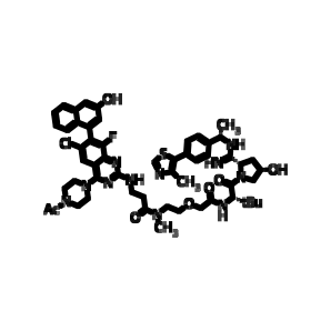 CC(=O)N1CCN(c2nc(NCCC(=O)N(C)CCOCC(=O)N[C@H](C(=O)N3C[C@H](O)C[C@H]3C(=N)N[C@@H](C)c3ccc(-c4scnc4C)cc3)C(C)(C)C)nc3c(F)c(-c4cc(O)cc5ccccc45)c(Cl)cc23)CC1